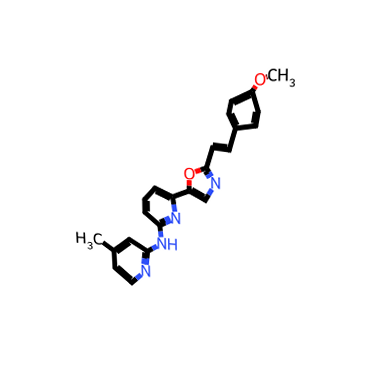 COc1ccc(C=Cc2ncc(-c3cccc(Nc4cc(C)ccn4)n3)o2)cc1